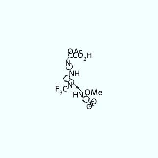 COc1cc(S(C)(=O)=O)ccc1NCC#Cc1cc2c(NC3CCN(CC(COC(C)=O)CC(=O)O)CC3)cccc2n1CC(F)(F)F